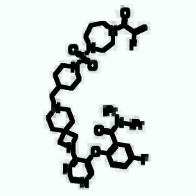 C=C(F)C(=O)N1CCCN(S(=O)(=O)N2CCC(CN3CCC4(CC3)CN(c3ncncc3Oc3ccc(F)cc3C(=O)N(C(C)C)C(C)C)C4)CC2)CC1